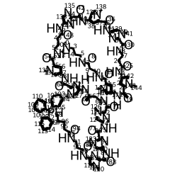 CN(C)CCCNC(=O)CCNC(=O)c1cc(NC(=O)c2cc(NC(=O)CCNC(=O)c3nc(NC(=O)c4cc(NC(=O)c5nc(NC(=O)CCCNC(=O)c6cc(NC(=O)c7nc(NC(=O)CCNC(=O)c8nc(NC(=O)c9nc(NC(=O)c%10nc(NC(=O)CCNC(=O)CCCC[PH](C%11=CCCC=C%11)(c%11ccccc%11)c%11ccccc%11)cn%10C)cn9C)cn8C)cn7C)cn6C)cn5C)cn4C)cn3C)cn2C)cn1C